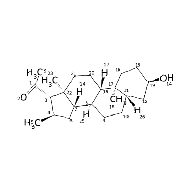 CC(=O)[C@H]1[C@H](C)C[C@H]2[C@@H]3CC[C@H]4C[C@H](O)CC[C@]4(C)[C@H]3CC[C@@]21C